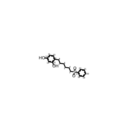 O=S(=O)(CCCCCCc1ccc(O)cc1O)c1ccccc1